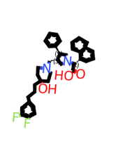 O=C(O)[C@@H](c1cccc2ccccc12)N1C[C@H](CN2CCC(O)(CCCc3ccc(F)c(F)c3)CC2)[C@@H](c2ccccc2)C1